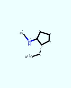 COC[C@H]1CCCC1NC(C)C